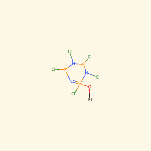 CCOP1(Cl)=NP(Cl)N(Cl)P(Cl)N1Cl